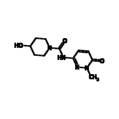 Cn1nc(NC(=O)N2CCC(O)CC2)ccc1=O